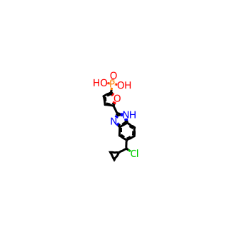 O=P(O)(O)c1ccc(-c2nc3cc(C(Cl)C4CC4)ccc3[nH]2)o1